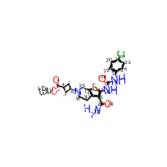 CC(C)(C)OC(=O)C1CC(N2CCc3c(sc(NC(=O)Nc4ccc(Cl)cc4)c3C(N)=O)C2)C1